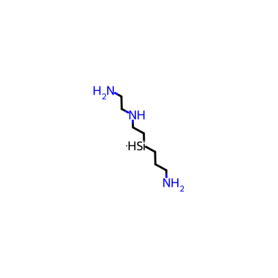 NCCC[SiH]CCNCCN